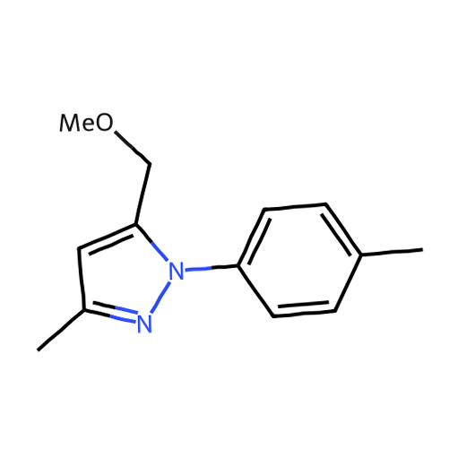 COCc1cc(C)nn1-c1ccc(C)cc1